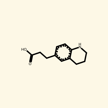 O=C(O)CCc1ccc2c(c1)CCCN2